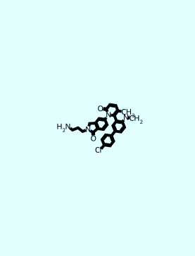 C=Nc1ccc(-c2ccc(Cl)cc2)cc1-c1c(C)ccc(=O)n1-c1ccc2c(c1)CN(CCCN)C2=O